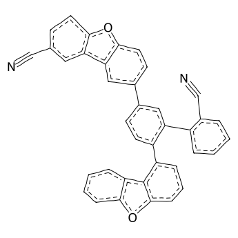 N#Cc1ccc2oc3ccc(-c4ccc(-c5cccc6oc7ccccc7c56)c(-c5ccccc5C#N)c4)cc3c2c1